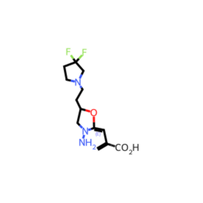 C=C(/C=C1/OC(CCN2CCC(F)(F)C2)CN1N)C(=O)O